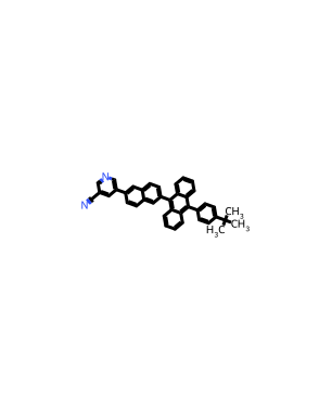 CC(C)(C)c1ccc(-c2c3ccccc3c(-c3ccc4cc(-c5cncc(C#N)c5)ccc4c3)c3ccccc23)cc1